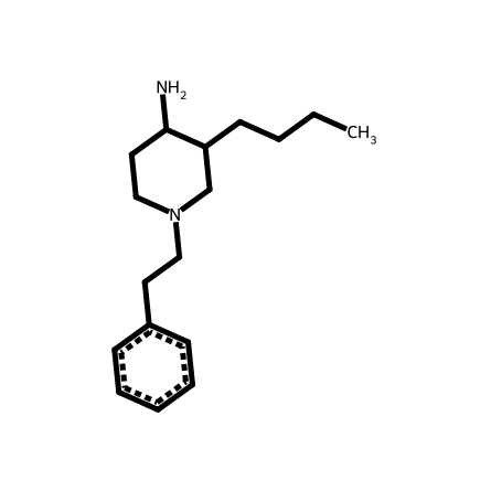 CCCCC1CN(CCc2ccccc2)CCC1N